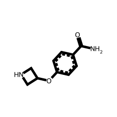 NC(=O)c1ccc(OC2CNC2)cc1